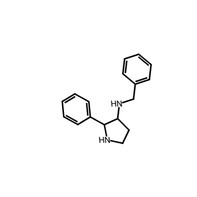 c1ccc(CNC2CCNC2c2ccccc2)cc1